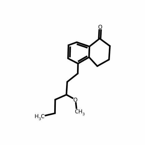 CCCC(CCc1cccc2c1CCCC2=O)OC